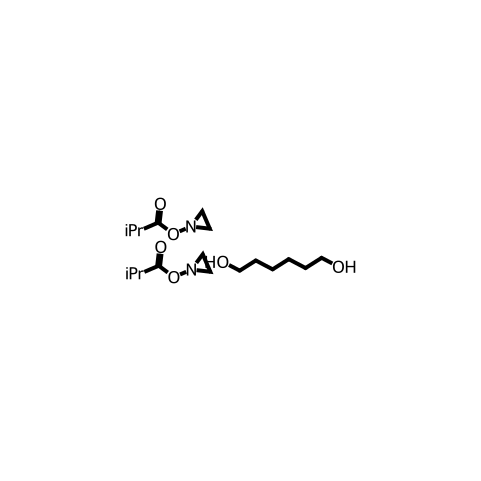 CC(C)C(=O)ON1CC1.CC(C)C(=O)ON1CC1.OCCCCCCO